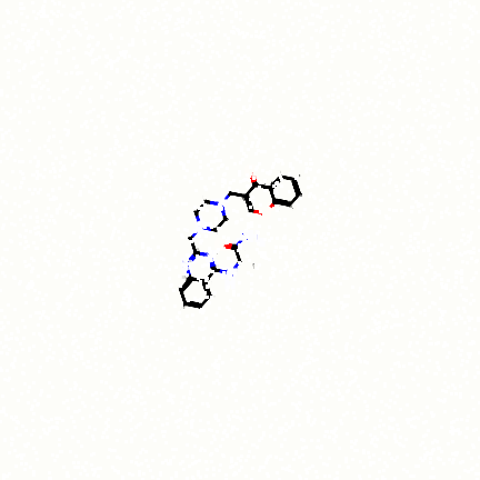 CC(C)[C@H](Nc1nc(CN2CCN(Cc3coc4ccccc4c3=O)CC2)nc2ccccc12)C(N)=O